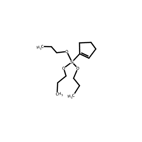 CCCO[Si](OCCC)(OCCC)C1=CCCC1